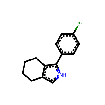 Brc1ccc(-c2[nH]cc3c2CCCC3)cc1